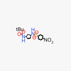 CC(C)(C)OC(=O)NC1C=CC(NS(=O)(=O)c2ccc([N+](=O)[O-])cc2)C1